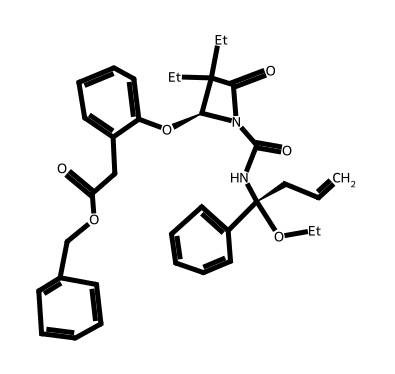 C=CC[C@@](NC(=O)N1C(=O)C(CC)(CC)[C@@H]1Oc1ccccc1CC(=O)OCc1ccccc1)(OCC)c1ccccc1